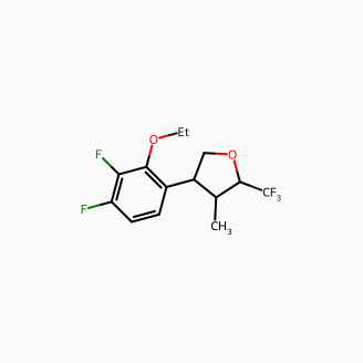 CCOc1c(C2COC(C(F)(F)F)C2C)ccc(F)c1F